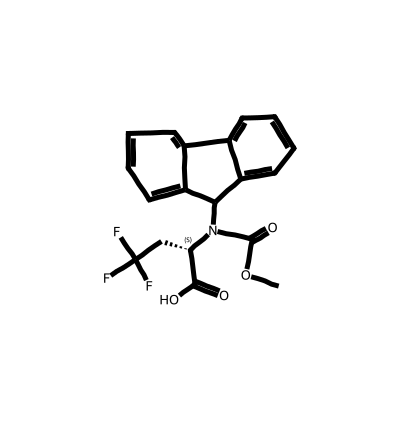 COC(=O)N(C1c2ccccc2-c2ccccc21)[C@@H](CC(F)(F)F)C(=O)O